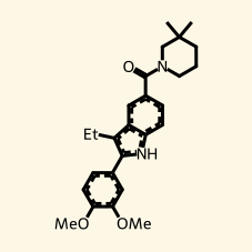 CCc1c(-c2ccc(OC)c(OC)c2)[nH]c2ccc(C(=O)N3CCCC(C)(C)C3)cc12